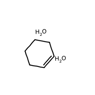 C1=CCCCC1.O.O